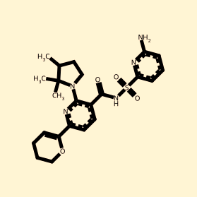 CC1CCN(c2nc(C3=CCCCO3)ccc2C(=O)NS(=O)(=O)c2cccc(N)n2)C1(C)C